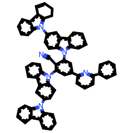 N#Cc1c(-n2c3ccccc3c3cc(-n4c5c(c6ccccc64)C=CCC5)ccc32)cc(-c2cccc(-c3ccccc3)n2)cc1-n1c2ccccc2c2cc(-n3c4ccccc4c4ccccc43)ccc21